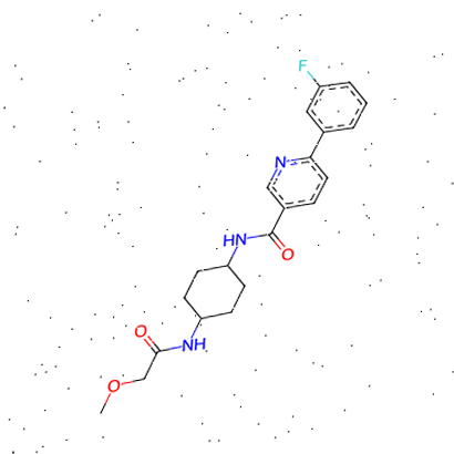 COCC(=O)NC1CCC(NC(=O)c2ccc(-c3cccc(F)c3)nc2)CC1